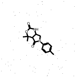 Cc1ccc(N2CC3NC(=O)OC(C)(C)C3C2=O)cc1